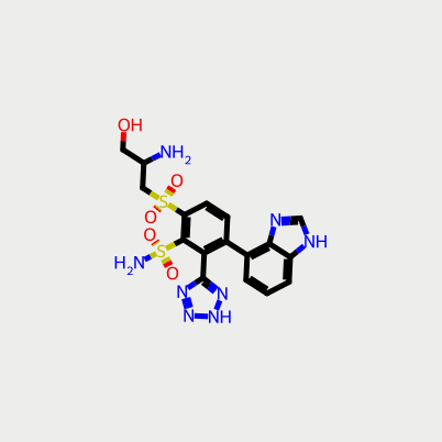 NC(CO)CS(=O)(=O)c1ccc(-c2cccc3[nH]cnc23)c(-c2nn[nH]n2)c1S(N)(=O)=O